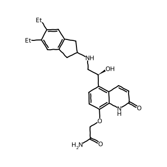 CCc1cc2c(cc1CC)CC(NC[C@@H](O)c1ccc(OCC(N)=O)c3[nH]c(=O)ccc13)C2